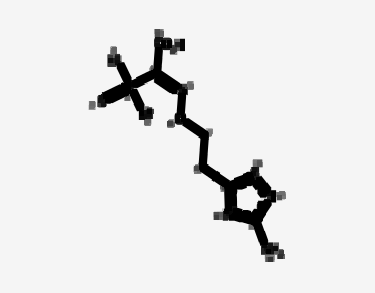 CCP(=S)(CC)C(=NOCCc1nc(N)ns1)C(=O)O